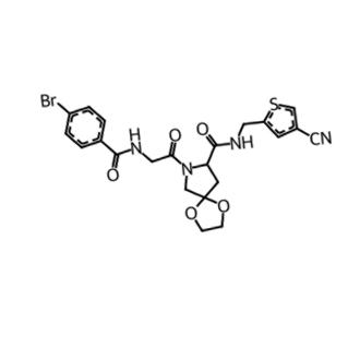 N#Cc1csc(CNC(=O)C2CC3(CN2C(=O)CNC(=O)c2ccc(Br)cc2)OCCO3)c1